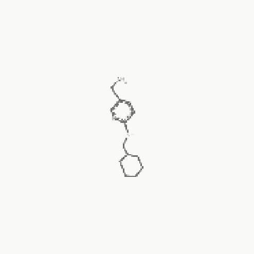 NCc1ccc(NCC2CCCCC2)nc1